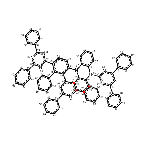 c1ccc(-c2cc(-c3ccccc3)nc(N3c4ccccc4N(c4ccc(-c5nc(-c6ccccc6)nc(-c6ccccc6)n5)c(-c5ccccc5)c4-c4nc(-c5ccccc5)nc(-c5ccccc5)n4)c4ccccc43)n2)cc1